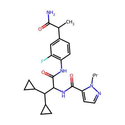 CC(C(N)=O)c1ccc(NC(=O)C(NC(=O)c2ccnn2C(C)C)C(C2CC2)C2CC2)c(F)c1